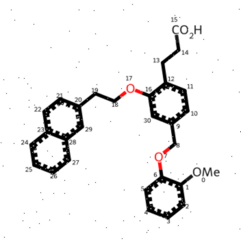 COc1ccccc1OCc1ccc(CCC(=O)O)c(OCCc2ccc3ccccc3c2)c1